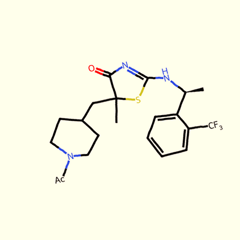 CC(=O)N1CCC(CC2(C)SC(N[C@@H](C)c3ccccc3C(F)(F)F)=NC2=O)CC1